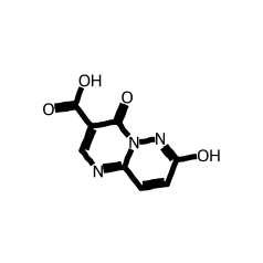 O=C(O)c1cnc2ccc(O)nn2c1=O